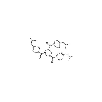 CC(C)Cc1ccc(C(=O)N2CN(C(=O)c3ccc(CC(C)C)cc3)CN(C(=O)c3ccc(CC(C)C)cc3)C2)cc1